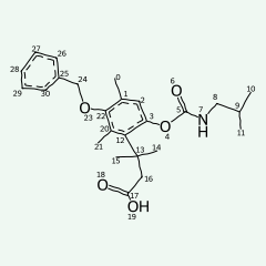 Cc1cc(OC(=O)NCC(C)C)c(C(C)(C)CC(=O)O)c(C)c1OCc1ccccc1